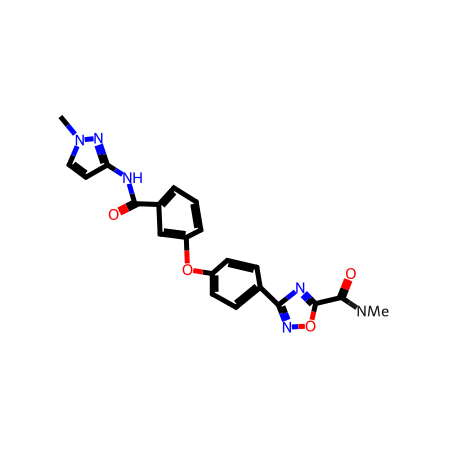 CNC(=O)c1nc(-c2ccc(Oc3cccc(C(=O)Nc4ccn(C)n4)c3)cc2)no1